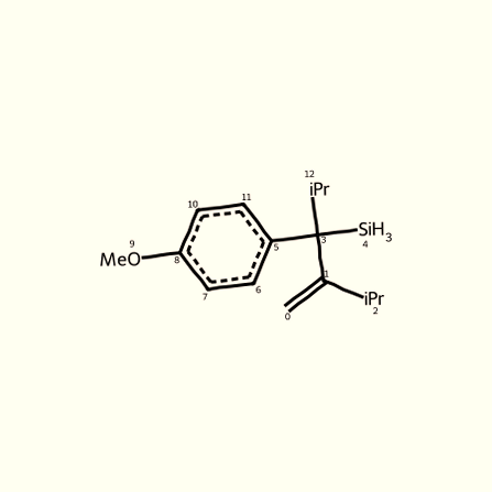 C=C(C(C)C)C([SiH3])(c1ccc(OC)cc1)C(C)C